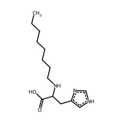 CCCCCCCCNC(Cc1c[nH]cn1)C(=O)O